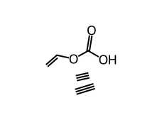 C#C.C#C.C=COC(=O)O